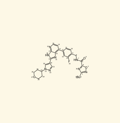 CC(C)(C)c1noc(C(=O)NCc2ccc(-c3ccnc4[nH]c(-c5cnn(C6CCOCC6)c5)nc34)cc2F)n1